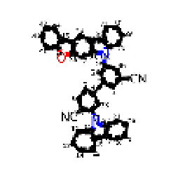 N#Cc1cc(-c2ccc(C#N)c(-n3c4ccccc4c4ccccc43)c2)cc(-n2c3ccccc3c3cc4c(cc32)oc2ccccc24)c1